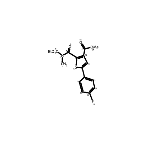 CCOC(=O)N(C)C(=O)c1sc(-c2ccc(F)cc2)cc1C(=O)OC